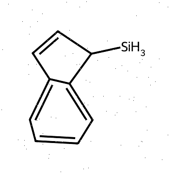 [SiH3]C1C=Cc2ccccc21